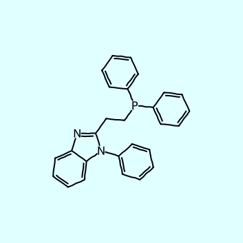 c1ccc(-n2c(CCP(c3ccccc3)c3ccccc3)nc3ccccc32)cc1